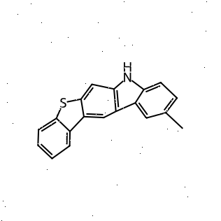 Cc1ccc2[nH]c3cc4sc5ccccc5c4cc3c2c1